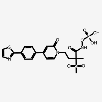 C[C@@](CCn1ccc(-c2ccc(-c3nccs3)cc2)cc1=O)(C(=O)NOP(=O)(O)O)S(C)(=O)=O